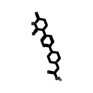 CC(=O)CN1CCN(c2ccc(C3CCC(=O)NC3=O)cn2)CC1